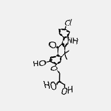 CC1(C)c2cc(OCC(O)CO)c(O)cc2C(=O)c2c1[nH]c1cc(Cl)ccc21